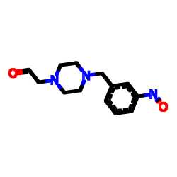 O=CCN1CCN(Cc2cccc(N=O)c2)CC1